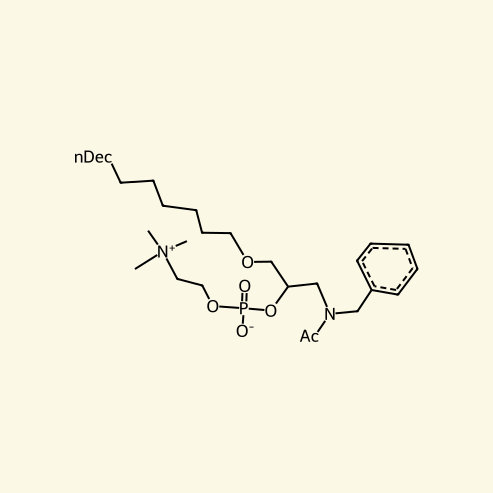 CCCCCCCCCCCCCCCCOCC(CN(Cc1ccccc1)C(C)=O)OP(=O)([O-])OCC[N+](C)(C)C